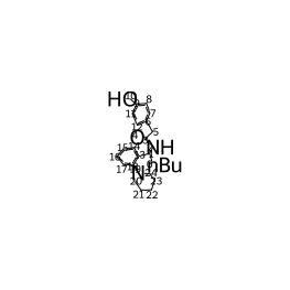 CCCCC(NC(=O)Cc1ccc(O)cc1)c1ccccc1N1CCCCC1